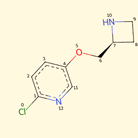 Clc1ccc(OC[C@@H]2CCN2)cn1